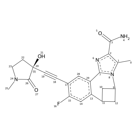 Cc1c(C(N)=O)nc2n1C1CC(C1)c1cc(F)c(C#C[C@@]3(O)CCN(C)C3=O)cc1-2